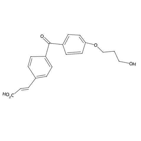 O=C(O)C=Cc1ccc(C(=O)c2ccc(OCCCO)cc2)cc1